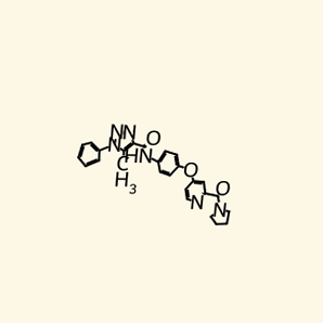 Cc1c(C(=O)Nc2ccc(Oc3ccnc(C(=O)N4CCCC4)c3)cc2)nnn1-c1ccccc1